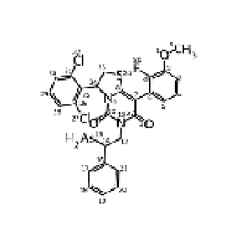 COc1cccc(-c2c3n(c(=O)n(CC([AsH2])c4ccccc4)c2=O)C(c2c(Cl)cccc2Cl)CS3)c1F